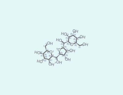 OC[C@H]1O[C@@H](C(O)[C@H]2O[C@@H](C(O)[C@@H]3O[C@H](CO)[C@H](O)[C@@H](O)[C@@H]3O)[C@@H](O)[C@@H]2O)[C@@H](O)[C@H](O)[C@H]1O